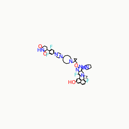 CCc1c(F)ccc2cc(O)cc(-c3ncc4c(N5CC6CCC(C5)N6)nc(OCC5(CN6CCCCC(N7CCN(c8cc(F)c(C9CCC(=O)NC9=O)c(F)c8)CC7)CCCC6)CC5)nc4c3F)c12